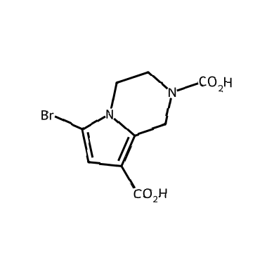 O=C(O)c1cc(Br)n2c1CN(C(=O)O)CC2